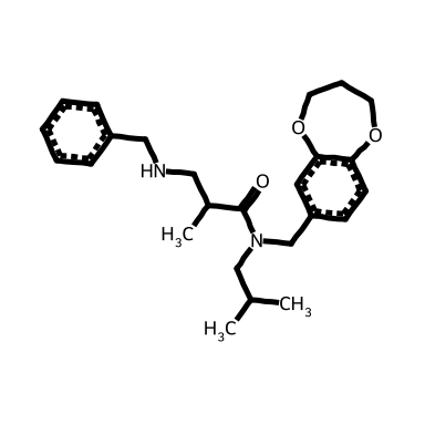 CC(C)CN(Cc1ccc2c(c1)OCCCO2)C(=O)C(C)CNCc1ccccc1